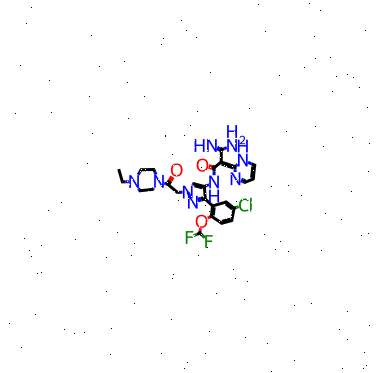 CCN1CCN(C(=O)Cn2cc(NC(=O)/C(C(=N)N)=C3\N=CC=CN3)c(-c3cc(Cl)ccc3OC(F)F)n2)CC1